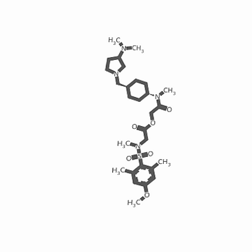 COc1cc(C)c(S(=O)(=O)N(C)CC(=O)OCC(=O)N(C)[C@H]2CC[C@H](CN3CCC(N(C)C)C3)CC2)c(C)c1